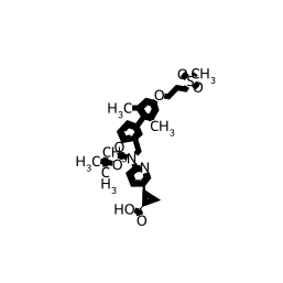 Cc1cc(OCCCS(C)(=O)=O)cc(C)c1-c1cccc(CN(C(=O)OC(C)(C)C)c2ccc([C@H]3C[C@@H]3C(=O)O)cn2)c1